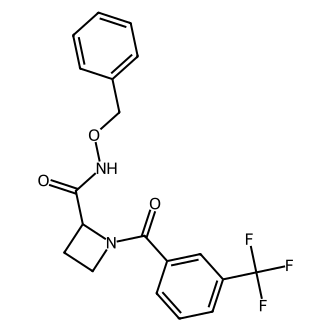 O=C(NOCc1ccccc1)C1CCN1C(=O)c1cccc(C(F)(F)F)c1